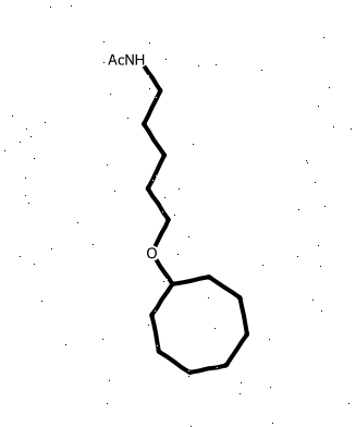 CC(=O)NCCCCCOC1CCCCCCC1